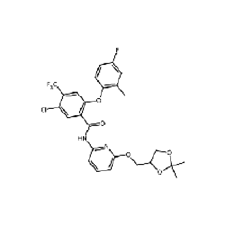 Cc1cc(F)ccc1Oc1cc(C(F)(F)F)c(Cl)cc1C(=O)Nc1cccc(OCC2COC(C)(C)O2)n1